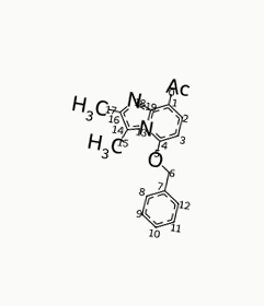 CC(=O)c1ccc(OCc2ccccc2)n2c(C)c(C)nc12